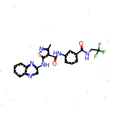 Cc1nsc(Nc2cnc3ccccc3n2)c1C(=O)Nc1cccc(C(=O)NCC(F)(F)F)c1